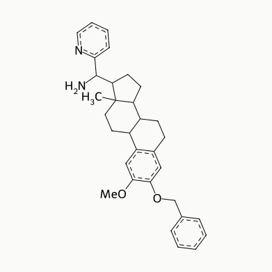 COc1cc2c(cc1OCc1ccccc1)CCC1C2CCC2(C)C(C(N)c3ccccn3)CCC12